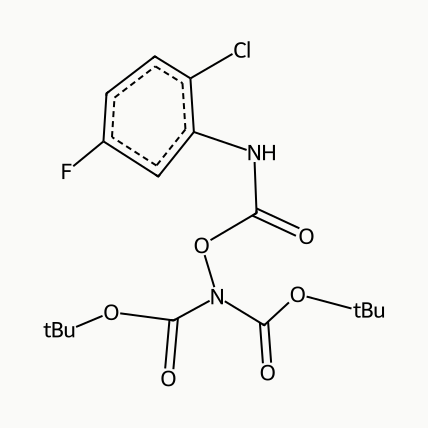 CC(C)(C)OC(=O)N(OC(=O)Nc1cc(F)ccc1Cl)C(=O)OC(C)(C)C